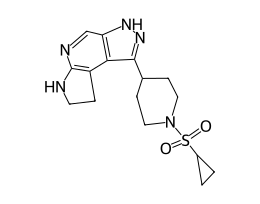 O=S(=O)(C1CC1)N1CCC(c2n[nH]c3cnc4c(c23)CCN4)CC1